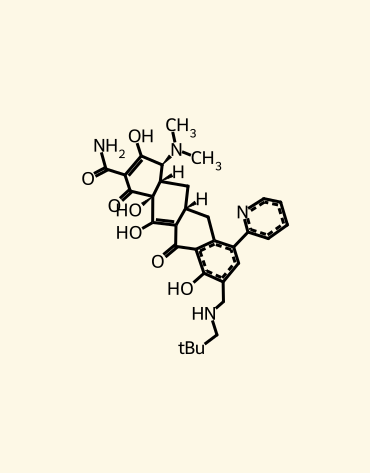 CN(C)[C@@H]1C(O)=C(C(N)=O)C(=O)[C@@]2(O)C(O)=C3C(=O)c4c(O)c(CNCC(C)(C)C)cc(-c5ccccn5)c4C[C@H]3C[C@@H]12